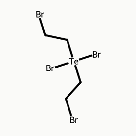 BrCC[Te](Br)(Br)CCBr